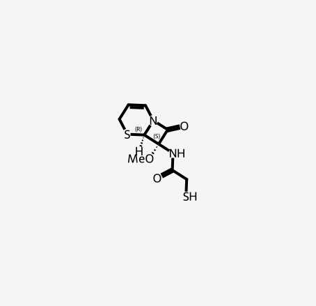 CO[C@@]1(NC(=O)CS)C(=O)N2C=CCS[C@@H]21